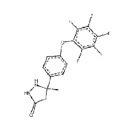 CC1(c2ccc(Oc3c(F)c(F)c(F)c(F)c3F)cc2)CC(=O)NN1